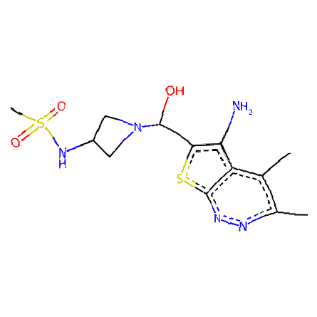 Cc1nnc2sc(C(O)N3CC(NS(C)(=O)=O)C3)c(N)c2c1C